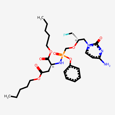 CCCCCOC(=O)C[C@H](NP(=O)(CO[C@H](CF)Cn1ccc(N)nc1=O)Oc1ccccc1)C(=O)OCCCCC